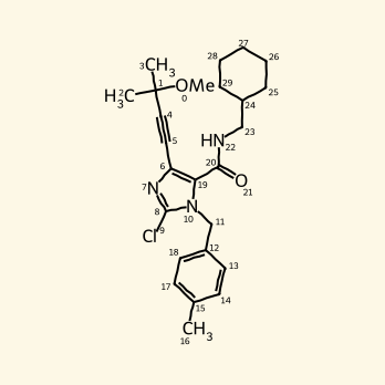 COC(C)(C)C#Cc1nc(Cl)n(Cc2ccc(C)cc2)c1C(=O)NCC1CCCCC1